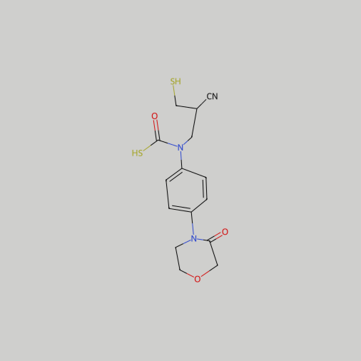 N#CC(CS)CN(C(=O)S)c1ccc(N2CCOCC2=O)cc1